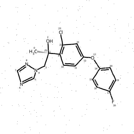 C[C@@](O)(Cn1cncn1)c1ccc(Oc2ccc(F)cc2)cc1Cl